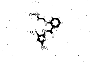 O=C(Nc1sc([N+](=O)[O-])cc1[N+](=O)[O-])c1ccccc1OCCNCl